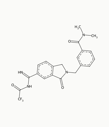 CN(C)C(=O)c1cccc(CN2Cc3ccc(C(=N)NC(=O)C(F)(F)F)cc3C2=O)c1